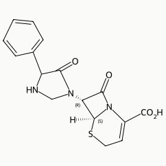 O=C(O)C1=CCS[C@H]2[C@H](N3CNC(c4ccccc4)C3=O)C(=O)N12